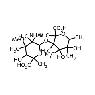 COC1(C)C(O)C(C)(C(=O)O)OC(OC2(C)C(C)(C(=O)O)OC(C)C(C)(O)C2(C)O)C1(C)NC(C)=O